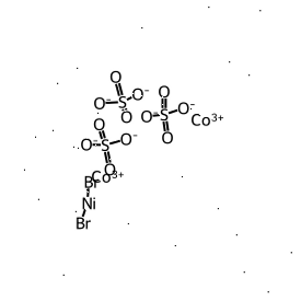 O=S(=O)([O-])[O-].O=S(=O)([O-])[O-].O=S(=O)([O-])[O-].[Br][Ni][Br].[Co+3].[Co+3]